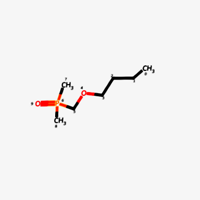 CCCCOCP(C)(C)=O